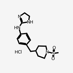 CS(=O)(=O)N1CCC(Cc2ccc(NC3=NCCN3)cc2)CC1.Cl